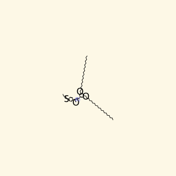 CCCCCCCCCCCCCCCCCCCOc1cc(/C=C/C(=O)c2ccc(SCCC)cc2)cc(OCCCCCCCCCCCCCCCCCCC)c1